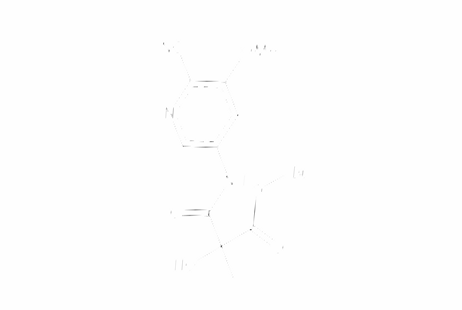 COc1cc(NC(=O)C(C)(O)C(=O)OC(C)(C)C)cnc1C#N